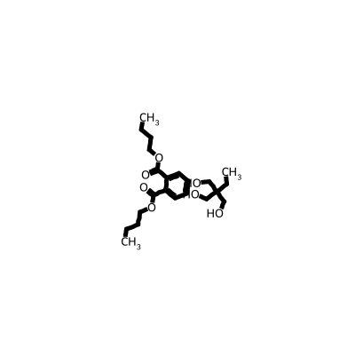 CCC(CO)(CO)CO.CCCCOC(=O)c1ccccc1C(=O)OCCCC